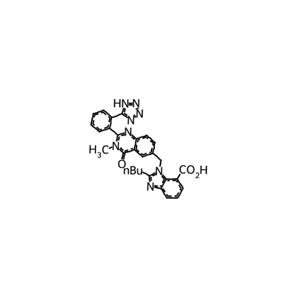 CCCCc1nc2cccc(C(=O)O)c2n1Cc1ccc2nc(-c3ccccc3-c3nnn[nH]3)n(C)c(=O)c2c1